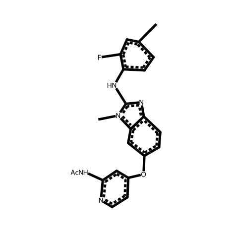 CC(=O)Nc1cc(Oc2ccc3nc(Nc4ccc(C)cc4F)n(C)c3c2)ccn1